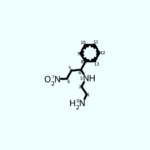 NCCNC(CC[N+](=O)[O-])c1ccccc1